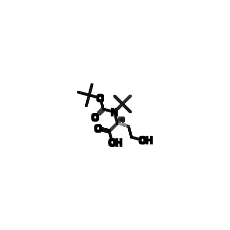 CC(C)(C)OC(=O)N([C@H](CCO)C(=O)O)C(C)(C)C